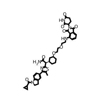 Cc1sc(C(C(N)=O)[C@@H]2CCC[C@H](OCCOCCNc3cccc4c3C(=O)N(C3CCC(=O)NC3=O)C4=O)C2)nc1-c1ccc2c(c1)CCN2C(=O)C1CC1